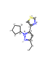 CCc1cc(-c2cscn2)n(C2CCCC2)n1